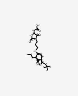 CCCc1c(OCCCN2C(=O)SC(CC(=O)O)C2=O)ccc2c(CC(C)(C)C)noc12